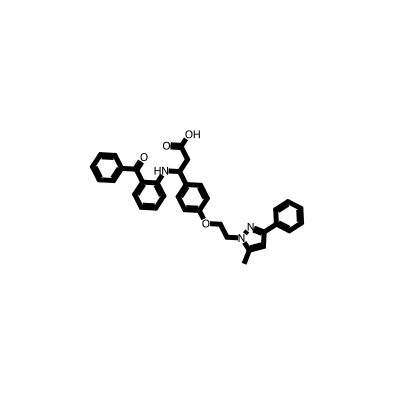 Cc1cc(-c2ccccc2)nn1CCOc1ccc(C(CC(=O)O)Nc2ccccc2C(=O)c2ccccc2)cc1